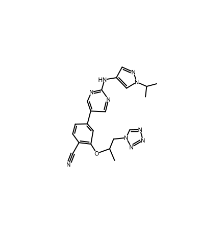 CC(Cn1cnnn1)Oc1cc(-c2cnc(Nc3cnn(C(C)C)c3)nc2)ccc1C#N